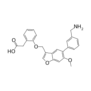 COc1cc2occ(COc3ccccc3CC(=O)O)c2cc1-c1cccc(CN)c1